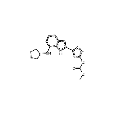 COC(=O)Oc1csc(-c2cc3cccc(NC4CCCC4)c3[nH]2)n1